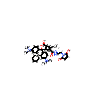 CCN(CC)c1ccc2c(c1)[Si]1(CCCCC1)c1cc(N(CC)CC)ccc1C21OC(=O)c2cc(C(F)(F)F)c(C(=O)NCCN3C(=O)C=CC3=O)cc21